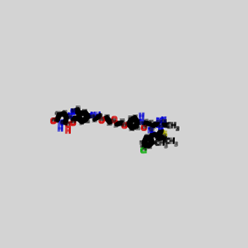 Cc1sc2c(c1C)C(c1ccc(Cl)cc1)=N[C@@H](CC(=O)Nc1ccc(OCCOCCOCCNc3ccc4c(=O)n(C5CCC(=O)NC5O)ncc4c3)cc1)c1nnc(C)n1-2